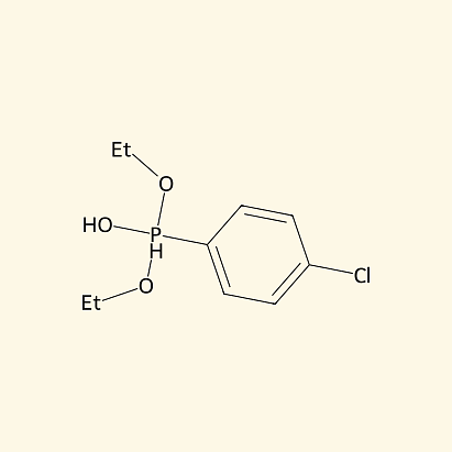 CCO[PH](O)(OCC)c1ccc(Cl)cc1